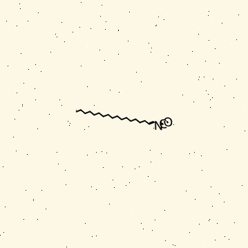 CCCCCCCCCCCCCCCCC=CN=C=O